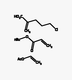 C=C(CCCCl)C(=O)O.C=CC(=O)OCCCC.C=COC(C)=O